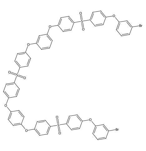 O=S(=O)(c1ccc(Oc2ccc(Oc3ccc(S(=O)(=O)c4ccc(Oc5cccc(Oc6ccc(S(=O)(=O)c7ccc(Oc8cccc(Br)c8)cc7)cc6)c5)cc4)cc3)cc2)cc1)c1ccc(Oc2cccc(Br)c2)cc1